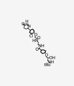 CC(C)(C)NCC(O)COc1ccc(C(=O)NCCNC(=O)COc2ccc(C3=NNC(=O)CC3)cc2Cl)cc1